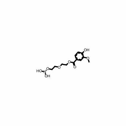 COc1cc(C(=O)OCCOCCON(O)O)ccc1O